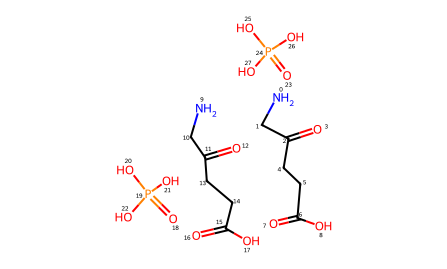 NCC(=O)CCC(=O)O.NCC(=O)CCC(=O)O.O=P(O)(O)O.O=P(O)(O)O